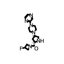 O=C([C@@H]1C[C@H](N2CCN(c3cnccn3)CC2)CN1)N1CC(F)C1